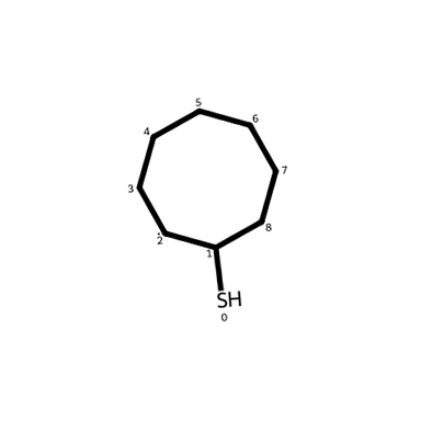 SC1[CH]CCCCCC1